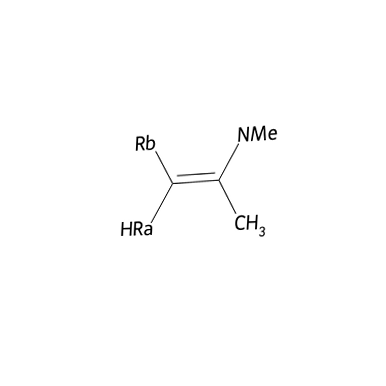 CN/C(C)=[C](\[Rb])[RaH]